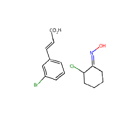 O=C(O)C=Cc1cccc(Br)c1.ON=C1CCCCC1Cl